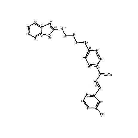 O=C(/C=C/c1cccc(Br)c1)c1ccc(OCCCSc2nc3ccccc3o2)cc1